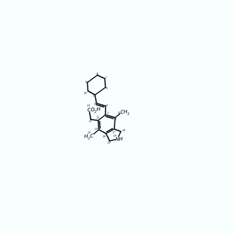 Cc1c(/C=C/C2CCCCC2)c(CC(=O)O)c(C)c2c1CNC2